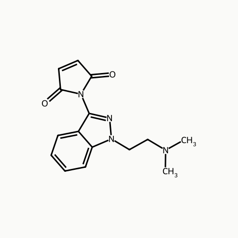 CN(C)CCn1nc(N2C(=O)C=CC2=O)c2ccccc21